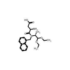 CCOC(OCC)[C@H](C)N(Cc1cccc2ccccc12)C(=O)C(N)CC(=O)O